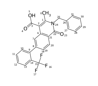 Cc1c(C(=O)O)c2cc(-c3ccccc3C(F)(F)F)ccc2c(=O)n1Cc1ccccc1